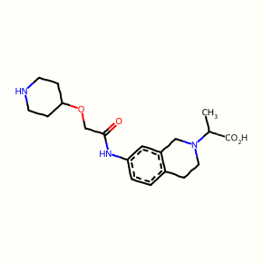 CC(C(=O)O)N1CCc2ccc(NC(=O)COC3CCNCC3)cc2C1